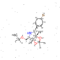 CCCC[Si](C)(C)OC[C@H]1N[C@@H](c2ccc(Br)cc2)[C@@H]2OC(C)(C)O[C@@H]21